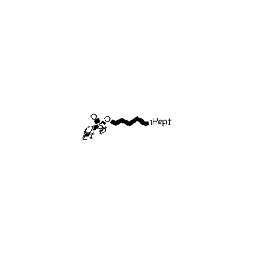 CCCCCCCCCCCCOS(=O)(=O)OCC